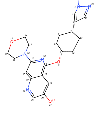 Cn1cc([C@H]2CC[C@@H](Oc3nc(N4CCOCC4)cc4ncc(O)cc34)CC2)cn1